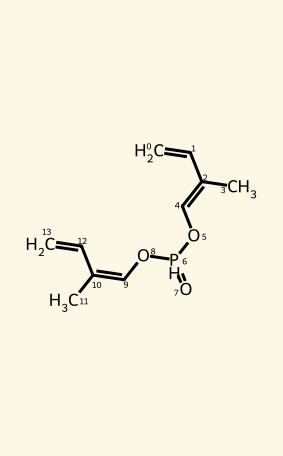 C=CC(C)=CO[PH](=O)OC=C(C)C=C